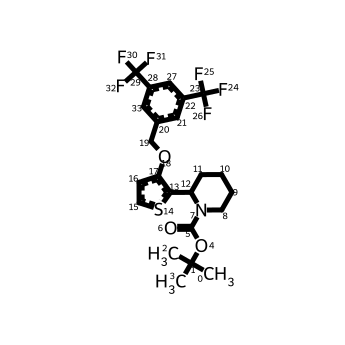 CC(C)(C)OC(=O)N1CCCCC1c1sccc1OCc1cc(C(F)(F)F)cc(C(F)(F)F)c1